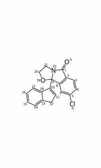 O=C1c2ccc(Cl)cc2C2(C3=CCc4ccccc43)OCCN12